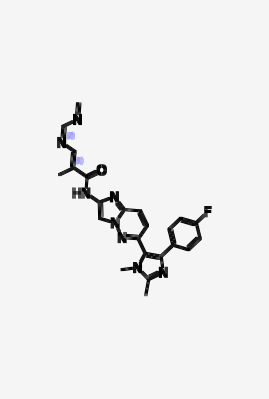 C=N/C=N\C=C(/C)C(=O)Nc1cn2nc(-c3c(-c4ccc(F)cc4)nc(C)n3C)ccc2n1